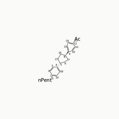 CCCCCc1ccc([C@H]2CC[C@H](c3ccc(C(C)=O)cc3)CC2)cc1